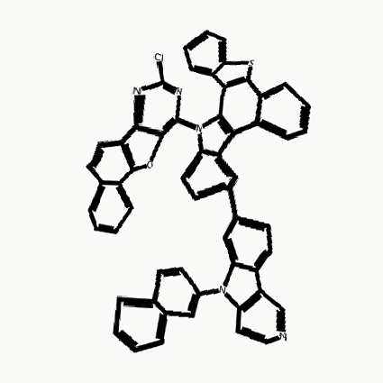 Clc1nc(-n2c3ccc(-c4ccc5c6cnccc6n(-c6ccc7ccccc7c6)c5c4)cc3c3c4ccccc4c4sc5ccccc5c4c32)c2oc3c4ccccc4ccc3c2n1